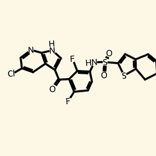 O=C(c1c(F)ccc(NS(=O)(=O)c2cc3c(s2)CCC=C3)c1F)c1c[nH]c2ncc(Cl)cc12